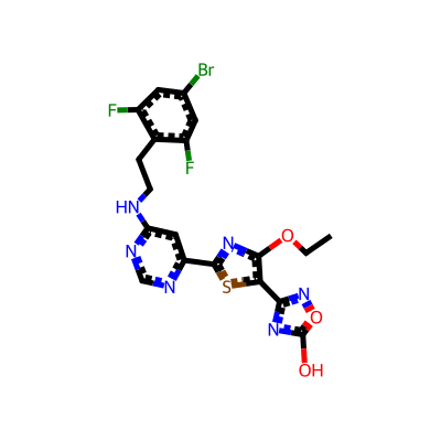 CCOc1nc(-c2cc(NCCc3c(F)cc(Br)cc3F)ncn2)sc1-c1noc(O)n1